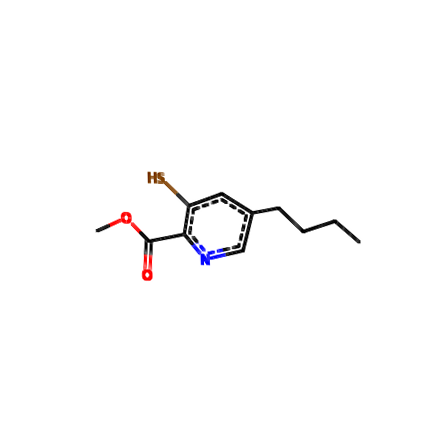 CCCCc1cnc(C(=O)OC)c(S)c1